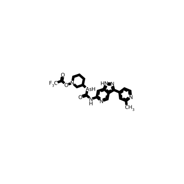 Cc1cc(-c2n[nH]c3cc(NC(=O)[AsH]C4CCCN(OC(=O)C(F)(F)F)C4)ncc23)ccn1